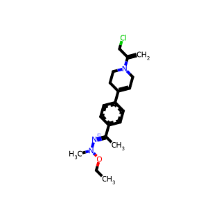 C=C(CCl)N1CC=C(c2ccc(/C(C)=N/N(C)OCC)cc2)CC1